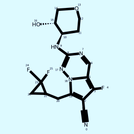 N#Cc1c(F)c2cnc(N[C@@H]3CCOC[C@H]3O)nn2c1CC1CC1(F)F